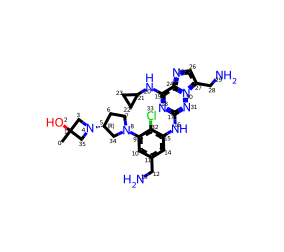 CC1(O)CN([C@@H]2CCN(c3cc(CN)cc(Nc4nc(NC5CC5)c5ncc(CN)n5n4)c3Cl)C2)C1